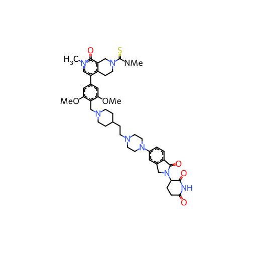 CNC(=S)N1CCc2c(-c3cc(OC)c(CN4CCC(CCN5CCN(c6ccc7c(c6)CN(C6CCC(=O)NC6=O)C7=O)CC5)CC4)c(OC)c3)cn(C)c(=O)c2C1